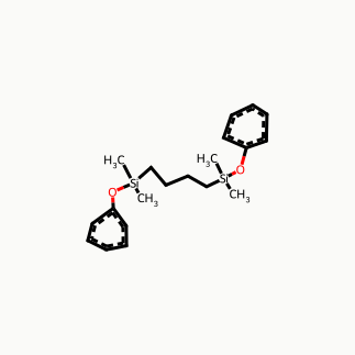 C[Si](C)(CCCC[Si](C)(C)Oc1ccccc1)Oc1ccccc1